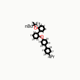 CCCCC(C)(CC)Oc1ccccc1-c1ccccc1Oc1ccc(-c2ccc(C(C)C)cc2)cc1